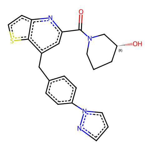 O=C(c1cc(Cc2ccc(-n3cccn3)cc2)c2sccc2n1)N1CCC[C@@H](O)C1